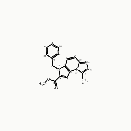 COC(=O)c1cc2c(ccc3nnc(C)n32)n1Cc1ccccc1